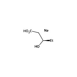 CC[C@@H](O)CC(=O)O.[Na]